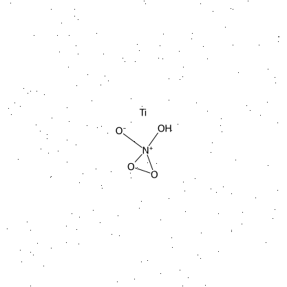 [O-][N+]1(O)OO1.[Ti]